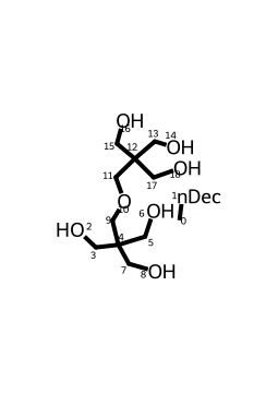 CCCCCCCCCCC.OCC(CO)(CO)COCC(CO)(CO)CO